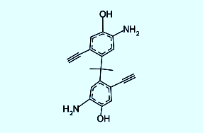 C#Cc1cc(O)c(N)cc1C(C)(C)c1cc(N)c(O)cc1C#C